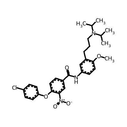 COc1ccc(NC(=O)c2ccc(Oc3ccc(Cl)cc3)c([N+](=O)[O-])c2)cc1CCCN(C(C)C)C(C)C